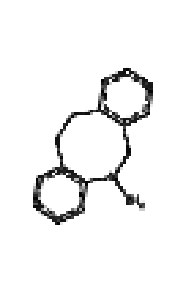 BN1Cc2ccccc2CCc2ccccc21